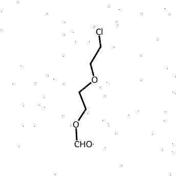 O=[C]OCCOCCCl